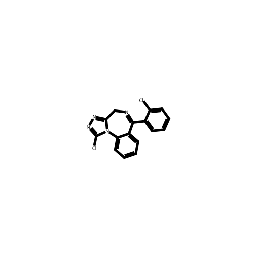 Clc1ccccc1C1=NCc2nnc(Cl)n2-c2ccccc21